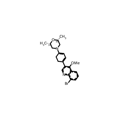 COc1c(C2=CC=C(N3C[C@@H](C)O[C@@H](C)C3)CC2)cnc2c(Br)cccc12